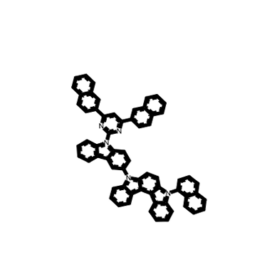 c1ccc2cc(-c3cc(-c4ccc5ccccc5c4)nc(-n4c5ccccc5c5cc(-n6c7ccccc7c7c8c9ccccc9n(-c9cccc%10ccccc9%10)c8ccc76)ccc54)n3)ccc2c1